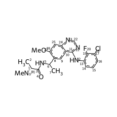 CN[C@H](C)C(=O)NC(C)c1cc2c(Nc3cccc(Cl)c3F)ncnc2cc1OC